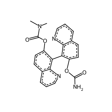 CN(C)C(=O)Oc1ccc2cccnc2c1-c1c(OC(N)=O)ccc2cccnc12